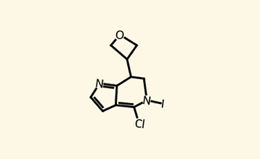 ClC1=C2C=CN=C2C(C2COC2)CN1I